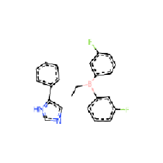 CCB(c1cccc(F)c1)c1cccc(F)c1.c1ccc(-c2cnc[nH]2)cc1